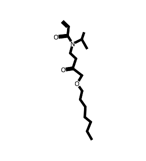 C=CC(=O)N(CCC(=O)COCCCCCCC)C(C)C